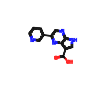 O=C(O)c1c[nH]c2ncc(-c3cccnc3)nc12